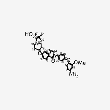 COc1cc(N)ccc1Oc1ccc(N(CC(C)C)C(=O)c2ccc(OC3CCN(CC(C)(C)C(=O)O)CC3)cc2)cc1